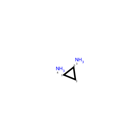 C1CC1.N.N